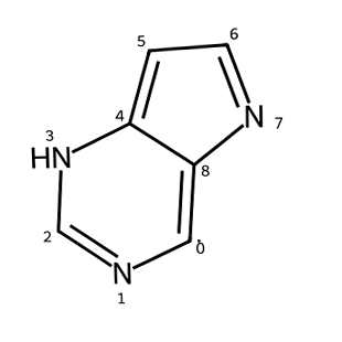 [c]1nc[nH]c2ccnc1-2